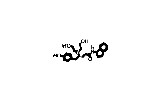 O=C(CC[C@H](Cc1ccc(O)cc1)N(CCO)CCO)NC1CCc2ccccc21